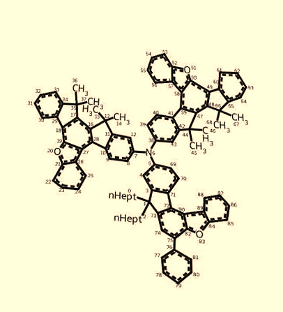 CCCCCCCC1(CCCCCCC)c2cc(N(c3ccc4c(c3)C(C)(C)c3c5c(c6oc7ccccc7c6c3-4)-c3ccccc3C5(C)C)c3ccc4c(c3)C(C)(C)c3c5c(c6oc7ccccc7c6c3-4)-c3ccccc3C5(C)C)ccc2-c2c1cc(-c1ccccc1)c1oc3ccccc3c21